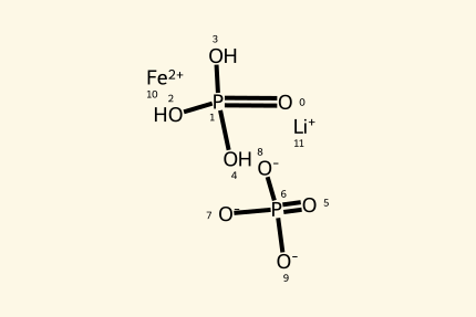 O=P(O)(O)O.O=P([O-])([O-])[O-].[Fe+2].[Li+]